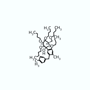 CCCCOC[C@H]1SC(O)(c2cc(Cc3ccc(C)cc3)c(C)cc2OCCCC)[C@H](OCCCC)[C@@H](OCCCC)[C@@H]1OCCCC